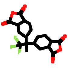 CC(C1CCC2C(=O)OC(=O)C2C1)(C1CCC2C(=O)OC(=O)C2C1)C(F)(F)F